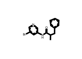 CC(Cc1ccccc1)C(=O)Nc1cncc(Br)c1